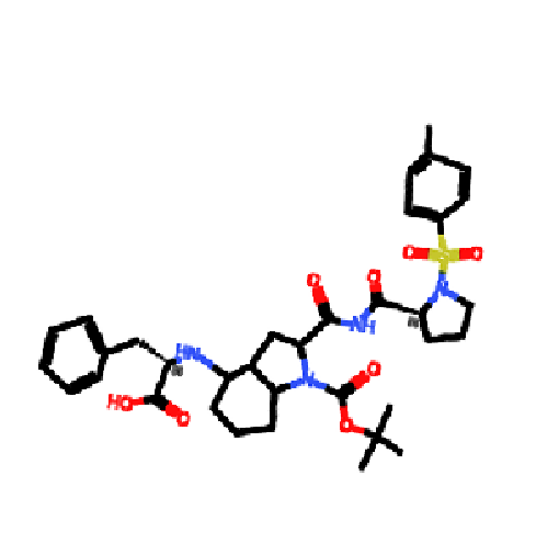 Cc1ccc(S(=O)(=O)N2CCC[C@H]2C(=O)NC(=O)C2CC3C(N[C@@H](Cc4ccccc4)C(=O)O)CCCC3N2C(=O)OC(C)(C)C)cc1